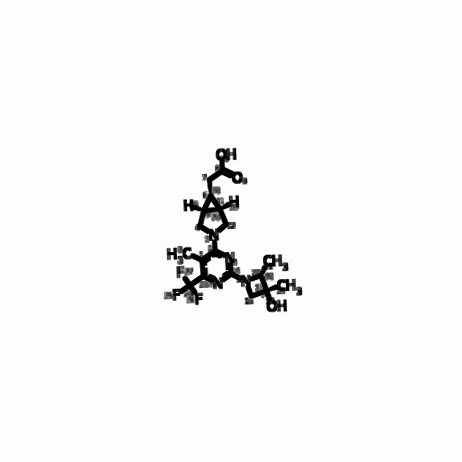 Cc1c(N2C[C@@H]3[C@@H](CC(=O)O)[C@@H]3C2)nc(N2C[C@@](C)(O)[C@@H]2C)nc1C(F)(F)F